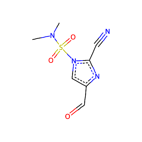 CN(C)S(=O)(=O)n1cc(C=O)nc1C#N